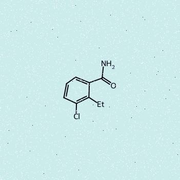 CCc1c(Cl)cccc1C(N)=O